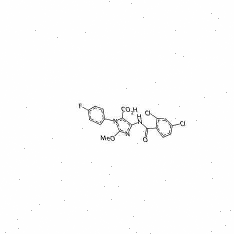 COc1nc(NC(=O)c2ccc(Cl)cc2Cl)c(C(=O)O)n1-c1ccc(F)cc1